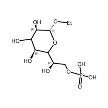 CCO[C@@H]1OC([C@H](O)COP(=O)(O)O)[C@@H](O)C(O)[C@H]1O